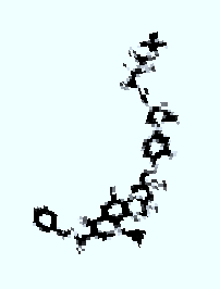 C[C@H](NC(=O)OC(C)(C)C)C(=O)OC[C@H]1CN(c2ccc(OC[C@]3(O)C[C@H]4COc5c(c(F)cc6c(=O)c(C(=O)OCc7ccccc7)cn(C7CC7)c56)N4C3)c(F)c2)C(=O)O1